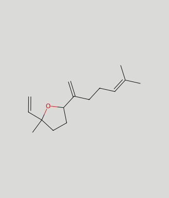 C=CC1(C)CCC(C(=C)CCC=C(C)C)O1